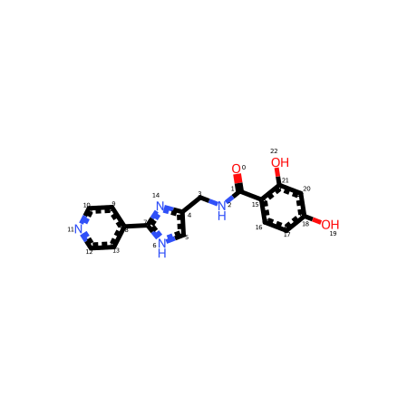 O=C(NCc1c[nH]c(-c2ccncc2)n1)c1ccc(O)cc1O